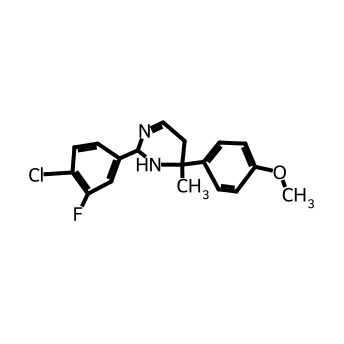 COc1ccc(C2(C)CC=NC(c3ccc(Cl)c(F)c3)N2)cc1